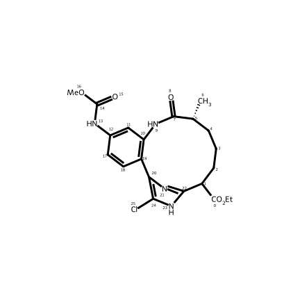 CCOC(=O)C1CCC[C@@H](C)C(=O)Nc2cc(NC(=O)OC)ccc2-c2nc1[nH]c2Cl